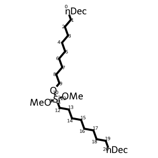 CCCCCCCCCCCCCCCCCCCO[Si](CCCCCCCCCCCCCCCCCC)(OC)OC